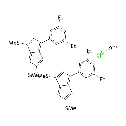 CCc1cc(CC)cc(C2=C3C=C(SC)C=C3C(SC)=C2)c1.CCc1cc(CC)cc(C2=C3C=C(SC)C=C3C(SC)=C2)c1.[Cl-].[Cl-].[Zr+2]